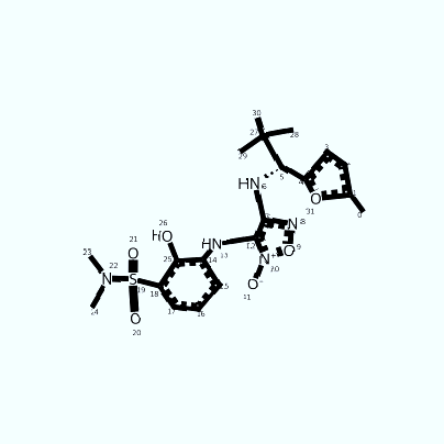 Cc1ccc([C@H](Nc2no[n+]([O-])c2Nc2cccc(S(=O)(=O)N(C)C)c2O)C(C)(C)C)o1